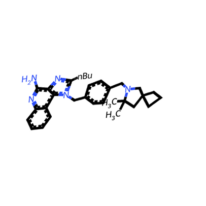 CCCCc1nc2c(N)nc3ccccc3c2n1Cc1ccc(CN2CC3(CCC3)CC2(C)C)cc1